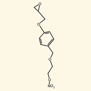 O=[N+]([O-])OCCOCc1ccc(OCC2CO2)cc1